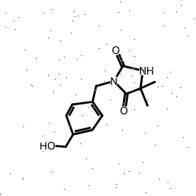 CC1(C)NC(=O)N(Cc2ccc(CO)cc2)C1=O